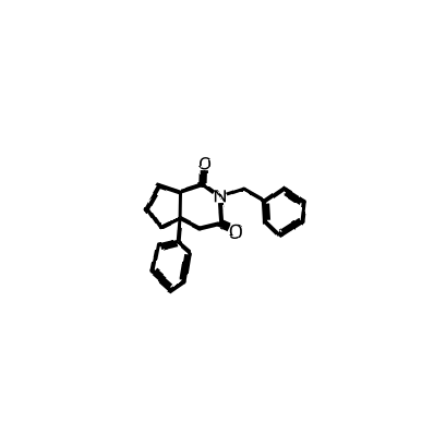 O=C1CC2(c3ccccc3)CCCC2C(=O)N1Cc1ccccc1